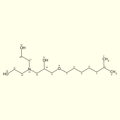 CC(C)CCCCCOCC(O)CN(CCO)CCO